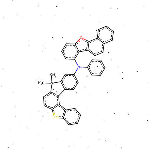 C[Si]1(C)c2cc(N(c3ccccc3)c3cccc4oc5c6ccccc6ccc5c34)ccc2-c2c1ccc1sc3ccccc3c21